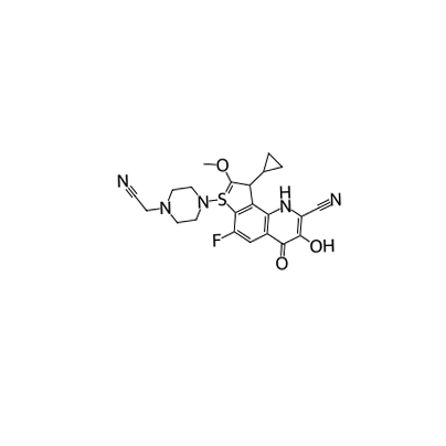 COC1=S(N2CCN(CC#N)CC2)c2c(F)cc3c(=O)c(O)c(C#N)[nH]c3c2C1C1CC1